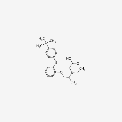 CCN(CC(=O)O)C(C)COc1ccccc1Sc1ccc(C(C)(C)C)cc1